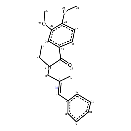 CCN(C/C(C)=C/c1ccccc1)C(=O)c1ccc(OC)c(OC)c1